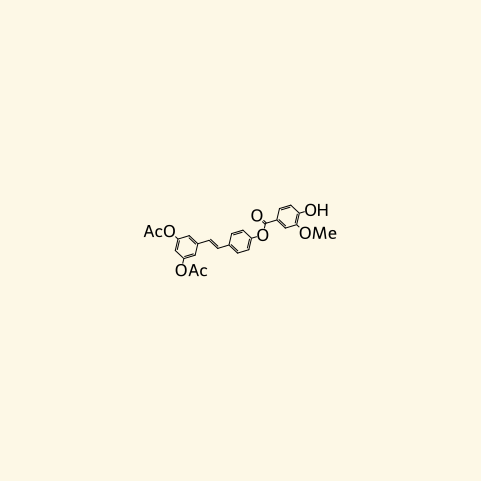 COc1cc(C(=O)Oc2ccc(C=Cc3cc(OC(C)=O)cc(OC(C)=O)c3)cc2)ccc1O